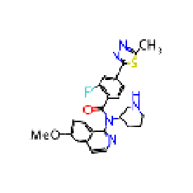 COc1ccc2c(N(C(=O)c3ccc(-c4nnc(C)s4)cc3F)[C@@H]3CCCNC3)nccc2c1